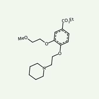 CCOC(=O)c1ccc(OCCN2CCCCC2)c(OCCOC)c1